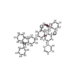 C1=CCC(c2ccc3c(c2)Oc2ccccc2C32c3ccccc3Oc3cc(-c4ccc5c(c4)c4ccccc4n5-c4ccccc4)ccc32)C=C1